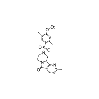 CCOc1cc(C)c(S(=O)(=O)N2CCN3C(=O)c4ccc(C)nc4C3C2)cc1C